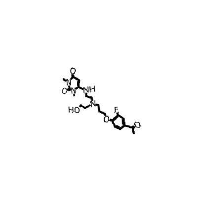 CC(=O)c1ccc(OCCCN(CCO)CCNc2cc(=O)n(C)c(=O)n2C)c(F)c1